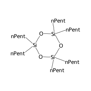 CCCCC[Si]1(CCCCC)O[Si](CCCCC)(CCCCC)O[Si](CCCCC)(CCCCC)O1